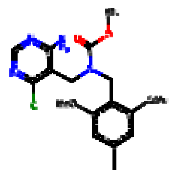 COc1cc(C)cc(OC)c1CN(Cc1c(N)ncnc1Cl)C(=O)OC(C)(C)C